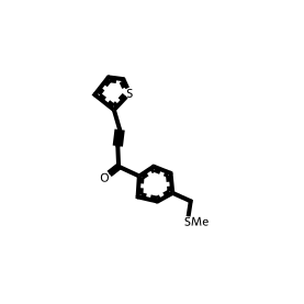 CSCc1ccc(C(=O)C#Cc2cccs2)cc1